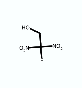 O=[N+]([O-])C(F)(CO)[N+](=O)[O-]